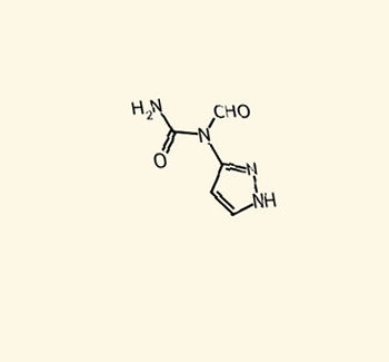 NC(=O)N(C=O)c1cc[nH]n1